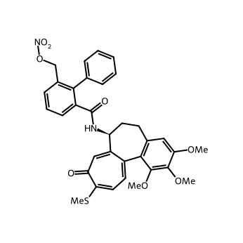 COc1cc2c(c(OC)c1OC)-c1ccc(SC)c(=O)cc1[C@@H](NC(=O)c1cccc(CO[N+](=O)[O-])c1-c1ccccc1)CC2